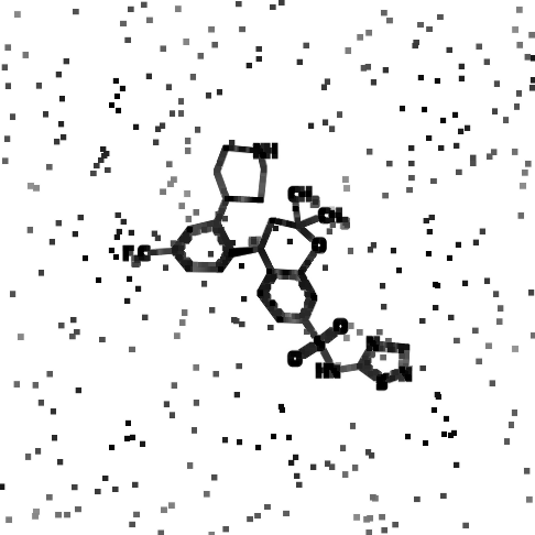 CC1(C)C[C@H](c2ccc(C(F)(F)F)cc2C2CCNCC2)c2ccc(S(=O)(=O)Nc3ncns3)cc2O1